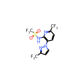 O=S(=O)(Nc1nc(C(F)(F)F)ccc1-n1ccc(C(F)(F)F)n1)C(F)(F)F